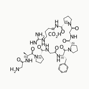 C[C@H](NC(=O)CN)C(=O)N1CCC[C@H]1C(=O)NCC(=O)N[C@@H](Cc1ccccc1)C(=O)N1CCC[C@H]1C(=O)NCC(=O)N1CCC[C@H]1C(=O)N[C@@H](CCCNC(=N)N)C(=O)O